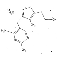 Cc1ncc(C[n+]2csc(CCO)c2C)c(N)n1.O.[Cl-]